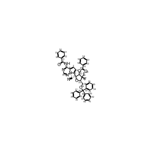 N#C[C@@]1(c2ccc3c(NC(=O)c4ccccc4)ncnn23)O[C@H](COC(c2ccccc2)(c2ccccc2)c2ccccc2)C(F)(F)C1OC(=O)c1ccccc1